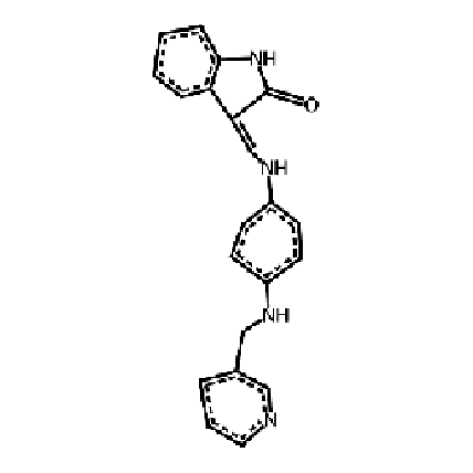 O=C1Nc2ccccc2C1=CNc1ccc(NCc2cccnc2)cc1